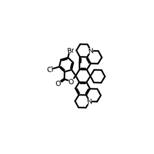 O=C1OC2(c3cc(Br)cc(Cl)c31)c1cc3c4c(c1C1(CCCCC1)c1c2cc2c5c1CCCN5CCC2)CCCN4CCC3